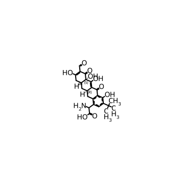 CC(C)(C)c1cc(C(N)C(=O)O)c2c(c1O)C(=O)C1=C(O)[C@]3(O)C(=O)C(C=O)=C(O)C[C@@H]3C[C@@H]1C2